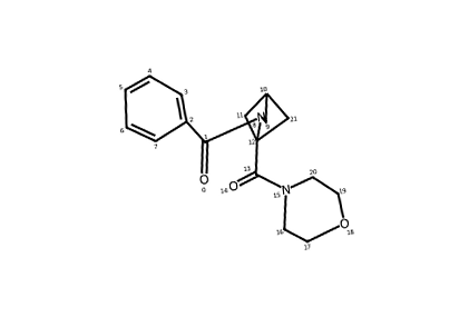 O=C(c1ccccc1)N1CC2CC1(C(=O)N1CCOCC1)C2